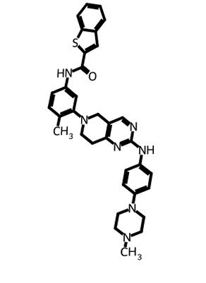 Cc1ccc(NC(=O)c2cc3ccccc3s2)cc1N1CCc2nc(Nc3ccc(N4CCN(C)CC4)cc3)ncc2C1